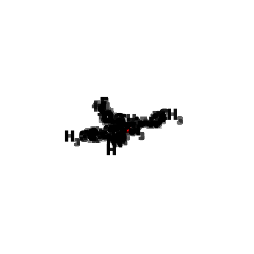 CC(c1ccnc(NCCCN2CCN(C)CC2)c1)C1(C(C)c2ccnc(NCCCN3CCN(C)CC3)c2)NC(=O)N(c2ccc(SC(F)(F)F)cc2)C1=O